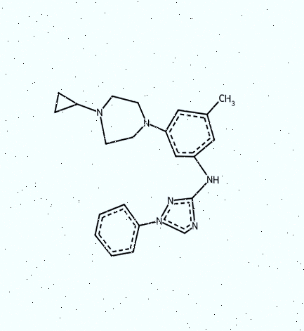 Cc1cc(Nc2ncn(-c3ccccc3)n2)cc(N2CCN(C3CC3)CC2)c1